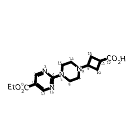 CCOC(=O)c1cnc(N2CCN(C3CC(C(=O)O)C3)CC2)nc1